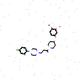 COc1cc(OC2CCN(C(=O)CCN3CCN(c4ccc(Cl)cc4F)CC3)CC2)ccc1[N+](=O)[O-]